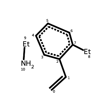 C=Cc1ccccc1CC.CCN